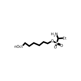 CCCCCCCCCCCCCCOS(=O)(=O)C(N)CC